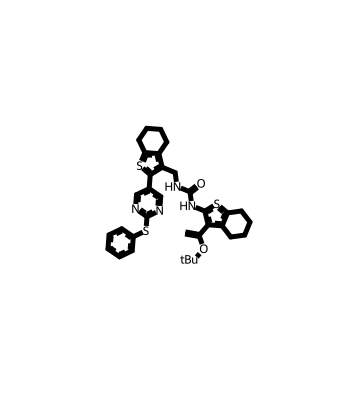 C=C(OC(C)(C)C)c1c(NC(=O)NCc2c(-c3cnc(Sc4ccccc4)nc3)sc3c2CCCC3)sc2c1CCCC2